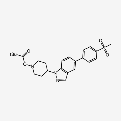 CC(C)(C)C(=O)ON1CCC(n2ncc3cc(-c4ccc(S(C)(=O)=O)cc4)ccc32)CC1